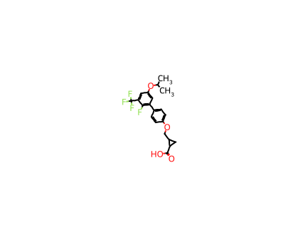 CC(C)Oc1cc(-c2ccc(OCC3CC3C(=O)O)cc2)c(F)c(C(F)(F)F)c1